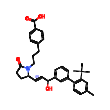 Cc1ccc(-c2cccc(C(O)/C=C/C3CCC(=O)N3CCCc3ccc(C(=O)O)cc3)c2)c(C(C)(C)C)c1